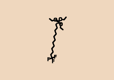 CCO[Si](CCCCCCCCCCCC(F)(F)F)(OCC)OCC